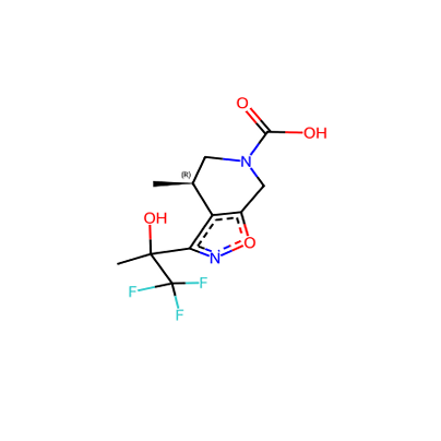 C[C@H]1CN(C(=O)O)Cc2onc(C(C)(O)C(F)(F)F)c21